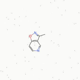 Cc1noc2ccncc12